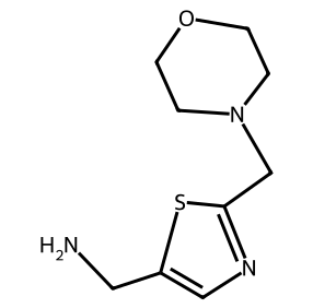 NCc1cnc(CN2CCOCC2)s1